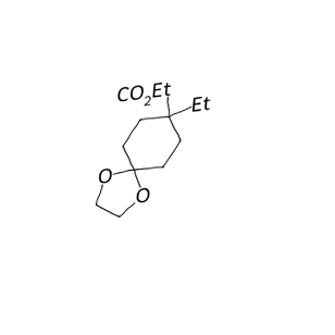 CCOC(=O)C1(CC)CCC2(CC1)OCCO2